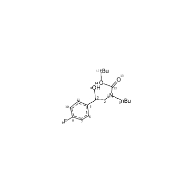 CCCCN(CC(O)c1ccc(F)cc1)C(=O)OC(C)(C)C